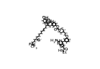 CCNC(=O)c1cc2c(-c3cccc(OCCC4CCN(C(=O)Oc5ccc6c(c5)C[C@@H](CCCCCCCCC[S+]([O-])CCCC(F)(F)C(F)(F)F)[C@@H]5[C@@H]6CC[C@]6(C)[C@@H](O)CC[C@@H]56)CC4)c3)nc(N)nc2s1